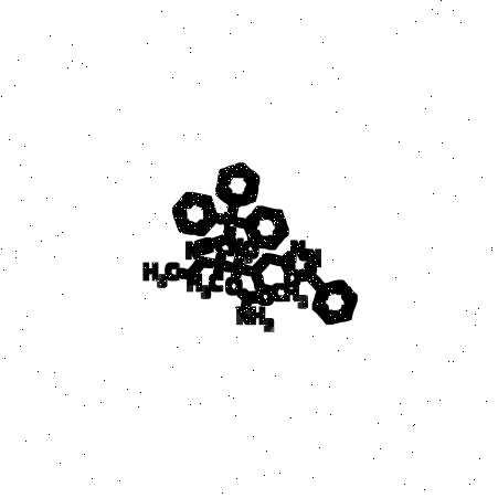 CCCC(C)(C)C(OC(N)=O)(C(=O)C(C#N)=P(c1ccccc1)(c1ccccc1)c1ccccc1)C(CC)Cc1nnc(-c2ccccc2)o1